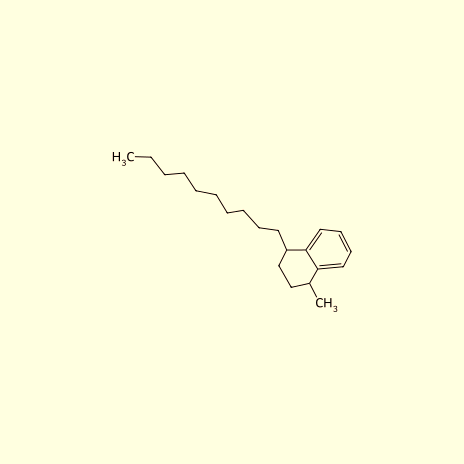 CCCCCCCCCCC1CCC(C)c2ccccc21